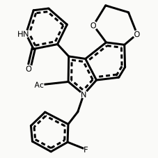 CC(=O)c1c(-c2ccc[nH]c2=O)c2c3c(ccc2n1Cc1ccccc1F)OCCO3